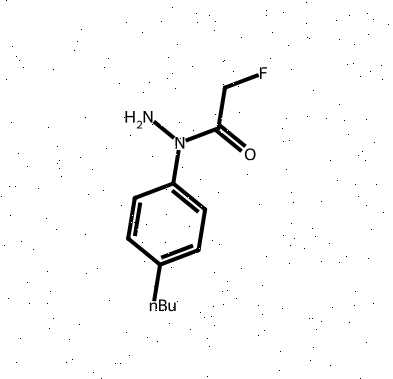 CCCCc1ccc(N(N)C(=O)CF)cc1